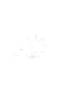 CC(c1ccccc1O)(c1ccccc1O)c1cccc(O)c1O